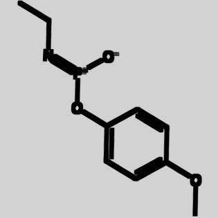 CC/N=[P+](\[O-])Oc1ccc(OC)cc1